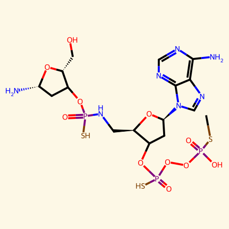 CSP(=O)(O)OOP(=O)(S)OC1C[C@H](n2cnc3c(N)ncnc32)O[C@@H]1CNP(=O)(S)OC1C[C@H](N)O[C@@H]1CO